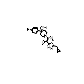 COc1c(N2CCC(O)(c3ccc(F)cc3)CC2)ncn2c(CC3CC3)nnc12